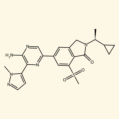 C[C@@H](C1CC1)N1Cc2cc(-c3cnc(N)c(-c4ccnn4C)n3)cc(S(C)(=O)=O)c2C1=O